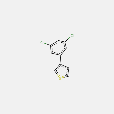 Clc1cc(Cl)cc(-c2c[c]sc2)c1